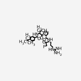 CC(C)C(NC(=O)c1ccc(C(C)(C)C)cc1)C(=O)N1CCC[C@H]1C(=O)N[C@@H](CCCNC(=N)N)C(=O)CF